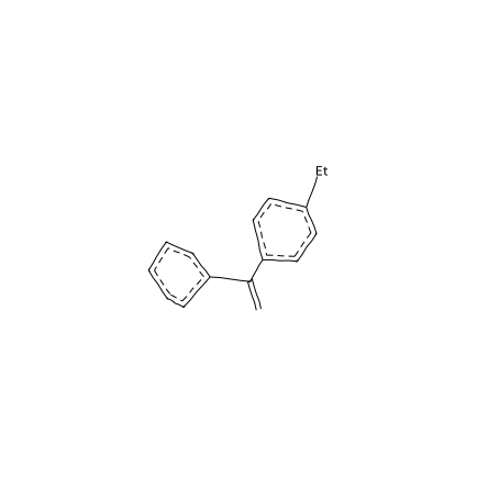 C=C(c1ccccc1)c1ccc(CC)cc1